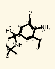 CCc1cc(C(C)(O)NC(C)(C)C)cc(F)c1N